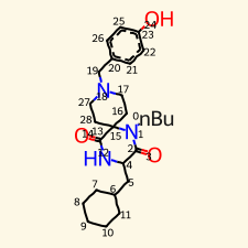 CCCCN1C(=O)C(CC2CCCCC2)NC(=O)C12CCN(Cc1ccc(O)cc1)CC2